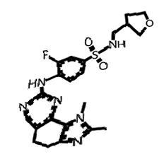 Cc1nc2c(n1C)-c1nc(Nc3ccc(S(=O)(=O)NCC4CCOC4)cc3F)ncc1CC2